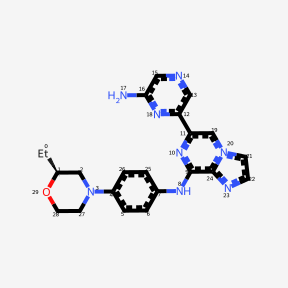 CC[C@H]1CN(c2ccc(Nc3nc(-c4cncc(N)n4)cn4ccnc34)cc2)CCO1